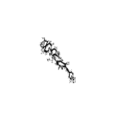 CCN1CCC(C#Cc2nccc(Sc3ncc(N4CCC5(CC4)CO[C@@H](C)C5)nc3N)c2Cl)CC1